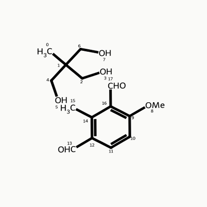 CC(CO)(CO)CO.COc1ccc(C=O)c(C)c1C=O